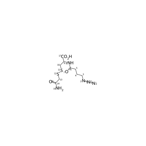 [N-]=[N+]=NCCCC(=O)NC(CSSCC(N)=O)C(=O)O